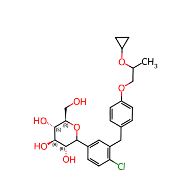 CC(COc1ccc(Cc2cc(C3O[C@H](CO)[C@@H](O)[C@H](O)[C@H]3O)ccc2Cl)cc1)OC1CC1